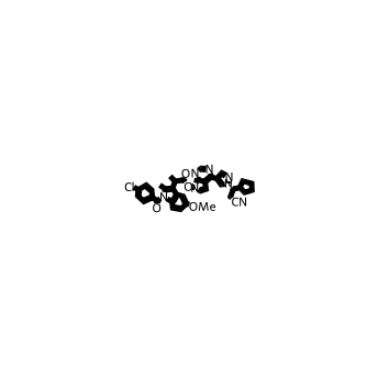 COc1ccc2c(c1)c(C(C)C(=O)On1ccc3c(-c4cnn(C(CC#N)C5CCCC5)c4)ncnc31)c(C)n2C(=O)c1ccc(Cl)cc1